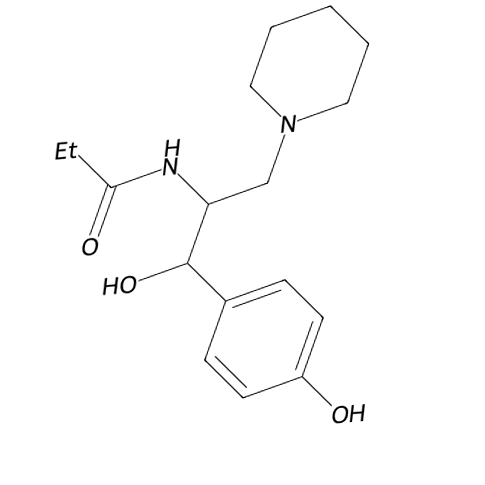 CCC(=O)NC(CN1CCCCC1)C(O)c1ccc(O)cc1